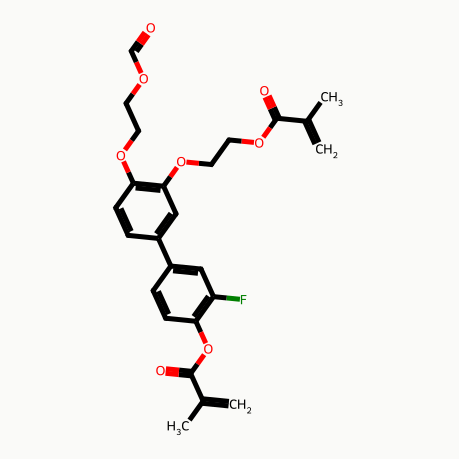 C=C(C)C(=O)OCCOc1cc(-c2ccc(OC(=O)C(=C)C)c(F)c2)ccc1OCCOC=O